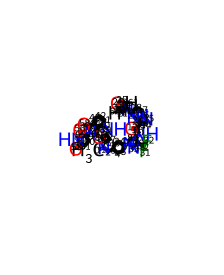 CN(CC1CCC(n2cc(NC(=O)c3cnn4ccc(N5C[C@H]6C[C@@H]5CO6)nc34)c(C(F)F)n2)CC1)[C@H]1C[C@H](Nc2cccc3c2C(=O)N(C2CCC(=O)NC2=O)C3=O)C1